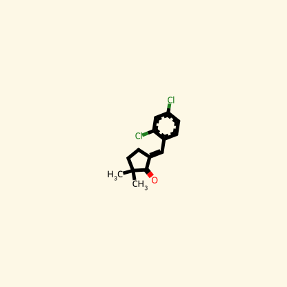 CC1(C)CCC(=Cc2ccc(Cl)cc2Cl)C1=O